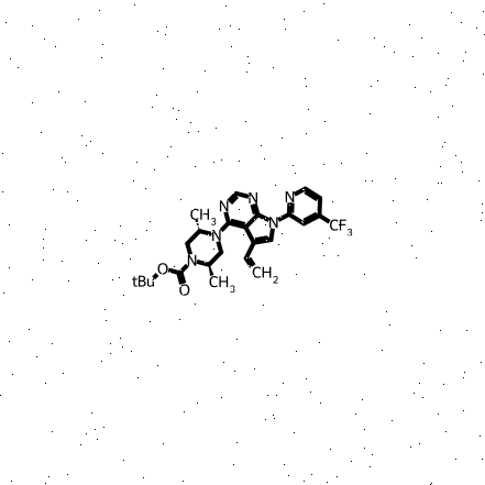 C=Cc1cn(-c2cc(C(F)(F)F)ccn2)c2ncnc(N3C[C@@H](C)N(C(=O)OC(C)(C)C)C[C@@H]3C)c12